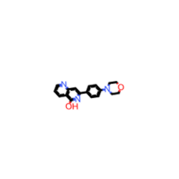 Oc1nc(-c2ccc(N3CCOCC3)cc2)cc2ncccc12